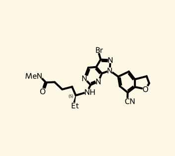 CC[C@@H](CCCC(=O)NC)Nc1ncc2c(Br)nn(-c3cc(C#N)c4c(c3)CCO4)c2n1